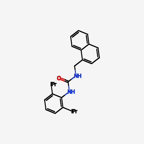 CC(C)c1cccc(C(C)C)c1NC(=O)NCc1cccc2ccccc12